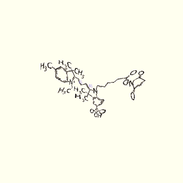 CC[N+]1=C(/C=C/C=C2/N(CCCCCC(=O)ON3C(=O)CCC3=O)c3ccc(S(=O)(=O)O)cc3C2(C)C)C(C)(C)c2cc(C)ccc21